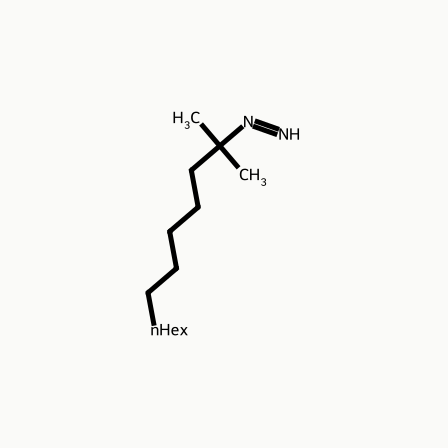 CCCCCCCCCCCC(C)(C)N=N